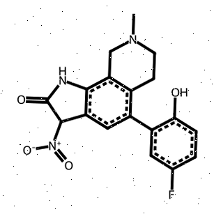 CN1CCc2c(-c3cc(F)ccc3O)cc3c(c2C1)NC(=O)C3[N+](=O)[O-]